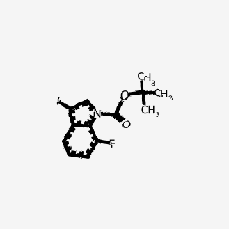 CC(C)(C)OC(=O)n1cc(I)c2cccc(F)c21